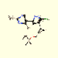 COc1ncc(-c2cc([C@H]3C[C@@H]3CO[Si](C)(C)C(C)(C)C)c(Cl)nn2)c(OC)n1